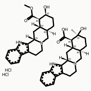 COC(=O)[C@@H]1[C@H]2C[C@H]3c4[nH]c5ccccc5c4CCN3C[C@@H]2CC[C@@H]1O.C[C@]1(O)CC[C@H]2CN3CCc4c([nH]c5ccccc45)[C@@H]3C[C@@H]2[C@H]1C(=O)O.Cl.Cl